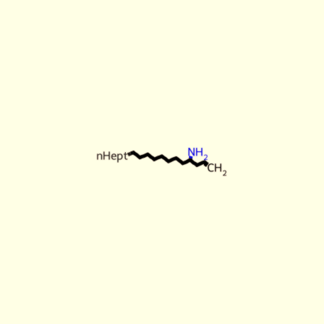 C=CCC(N)CCCCCCCCCCCCCCC